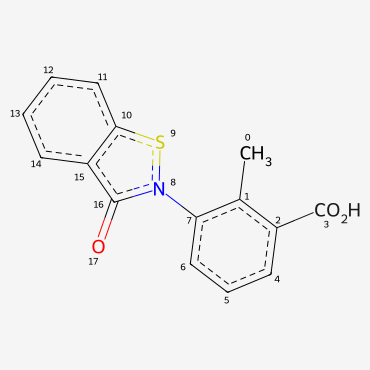 Cc1c(C(=O)O)cccc1-n1sc2ccccc2c1=O